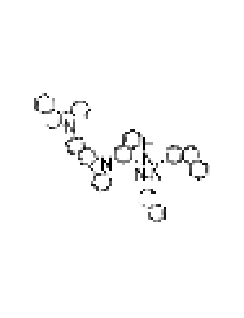 C1=CC2C3=C(CCC4=C3CCC=C4)N(c3ccc4cc5c(cc4c3)N(c3cc(C4N=C(C6=Cc7ccccc7CC6)N=C(c6ccc7ccc8ccccc8c7c6)N4)c4ccccc4c3)C3C=CC=CC53)C2C=C1